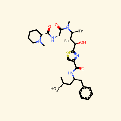 CC[C@H](C)[C@H](NC(=O)[C@H]1CCCCN1C)C(=O)N(C)[C@H](C[C@@H](O)c1nc(C(=O)N[C@@H](Cc2ccccc2)C[C@H](C)C(=O)O)cs1)C(C)C